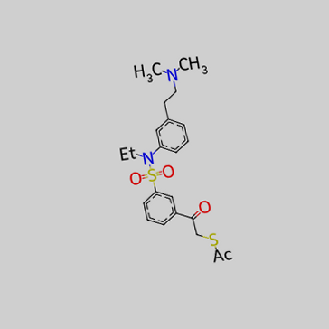 CCN(c1cccc(CCN(C)C)c1)S(=O)(=O)c1cccc(C(=O)CSC(C)=O)c1